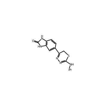 CC(C)NC1=NN=C(c2ccc3[nH]c(=O)[nH]c3c2)CS1